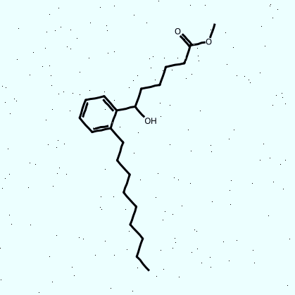 CCCCCCCCCc1ccccc1C(O)CCCCC(=O)OC